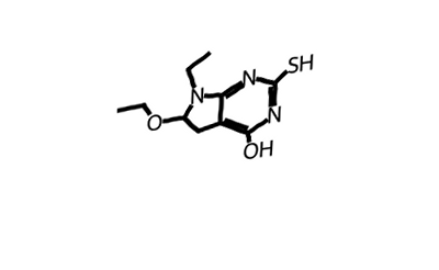 CCOC1Cc2c(O)nc(S)nc2N1CC